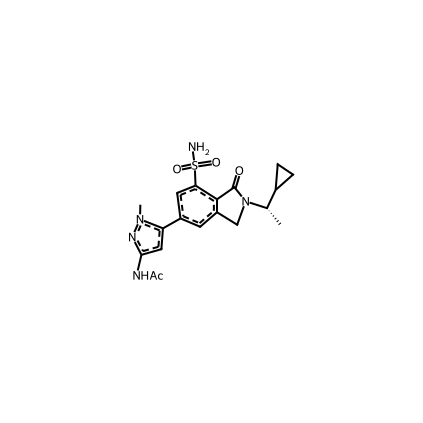 CC(=O)Nc1cc(-c2cc3c(c(S(N)(=O)=O)c2)C(=O)N([C@@H](C)C2CC2)C3)n(C)n1